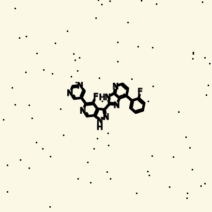 Fc1ccccc1-c1ccnc2[nH]c(-c3n[nH]c4cnc(-c5cncnc5)c(F)c34)nc12